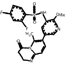 COc1ncc(C2=C(C)N3C(=O)CCN=C3C=C2)cc1NS(=O)(=O)c1ccc(F)cc1F